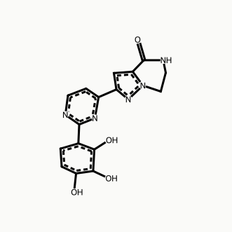 O=C1NCCn2nc(-c3ccnc(-c4ccc(O)c(O)c4O)n3)cc21